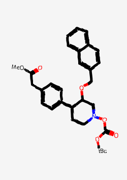 COC(=O)Cc1ccc(C2CCN(OC(=O)OC(C)(C)C)CC2OCc2ccc3ccccc3c2)cc1